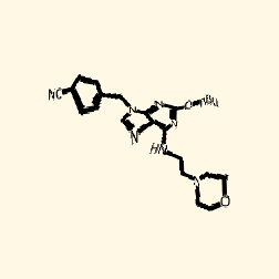 CCCCOc1nc(NCCN2CCOCC2)c2ncn(Cc3ccc(C#N)cc3)c2n1